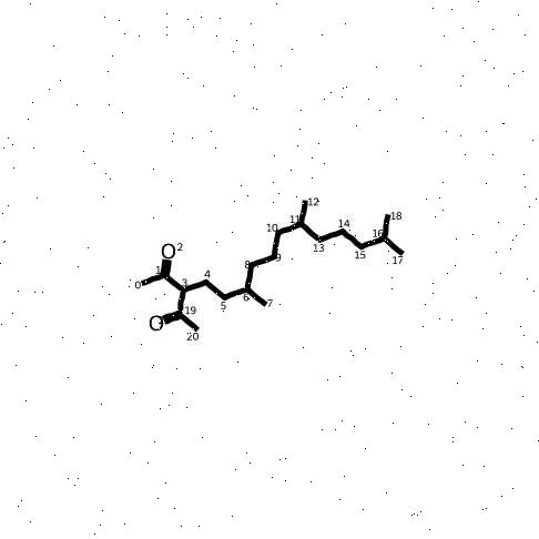 CC(=O)C(CCC(C)CCCC(C)CCCC(C)C)C(C)=O